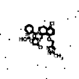 Cn1cc(COc2ccc(Cl)c3c2[C@@H](CN2CCCC2=O)N(C(=O)C2CCCC[C@H]2C(=O)O)CC3)nn1